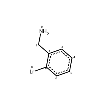 NCc1cccc[c]1[Lr]